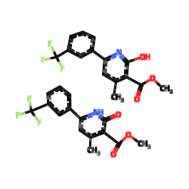 COC(=O)c1c(C)cc(-c2cccc(C(F)(F)F)c2)[nH]c1=O.COC(=O)c1c(C)cc(-c2cccc(C(F)(F)F)c2)nc1O